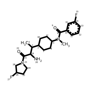 CC(C1CCC(N(C)C(=O)c2cccc(F)c2)CC1)C(N)C(=O)N1CCC(F)C1